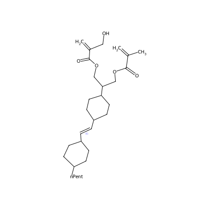 C=C(C)C(=O)OCC(COC(=O)C(=C)CO)C1CCC(/C=C/C2CCC(CCCCC)CC2)CC1